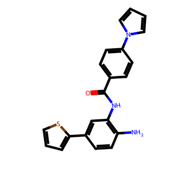 Nc1ccc(-c2cccs2)cc1NC(=O)c1ccc(-n2cccc2)cc1